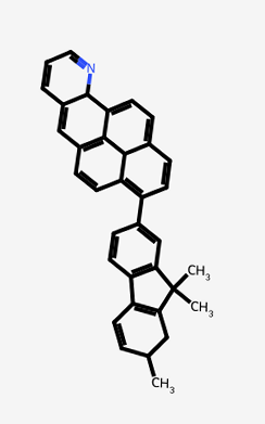 CC1C=CC2=C(C1)C(C)(C)c1cc(C3=C4C=CC5=C6C(=CC=C(C=C3)C46)C3N=CC=CC3=C5)ccc12